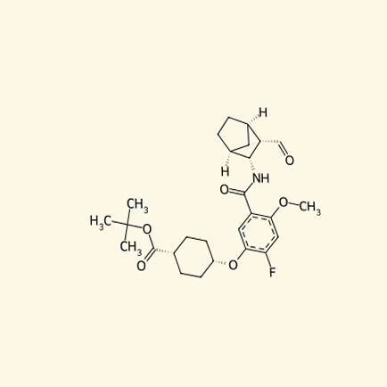 COc1cc(F)c(O[C@H]2CC[C@@H](C(=O)OC(C)(C)C)CC2)cc1C(=O)N[C@@H]1[C@H]2CC[C@H](C2)[C@@H]1C=O